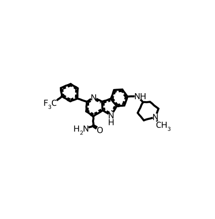 CN1CCC(Nc2ccc3c(c2)[nH]c2c(C(N)=O)cc(-c4cccc(C(F)(F)F)c4)nc23)CC1